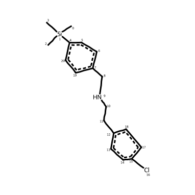 C[Si](C)(C)c1ccc(CNCCc2ccc(Cl)cc2)cc1